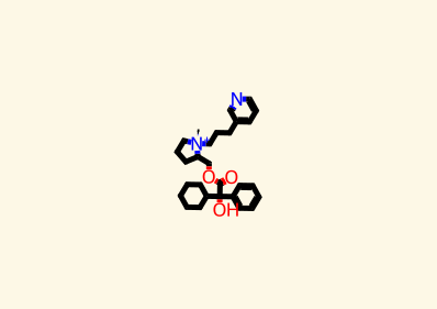 C[N@@+]1(CCCc2cccnc2)CCCC1COC(=O)C(O)(c1ccccc1)C1CCCCC1